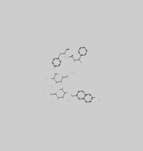 COc1ccc2cc(COC3C(OC4C(CO)OC(Oc5ccc(CC([C]=O)NC(=O)C(N)C(C)c6ccccc6)cc5)C(O)C4O)OC(CO)C(O)C3O)ccc2c1